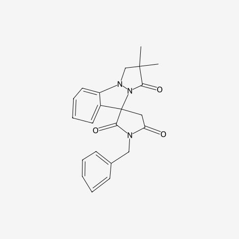 CC1(C)CN2c3ccccc3C3(CC(=O)N(Cc4ccccc4)C3=O)N2C1=O